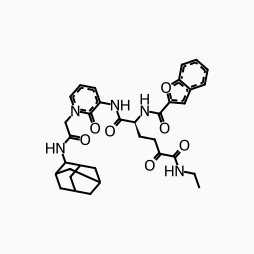 CCNC(=O)C(=O)CC[C@H](NC(=O)c1cc2ccccc2o1)C(=O)Nc1cccn(CC(=O)NC2C3CC4CC(C3)CC2C4)c1=O